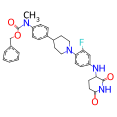 CN(C(=O)OCc1ccccc1)c1ccc(C2CCN(c3ccc(NC4CCC(=O)NC4=O)cc3F)CC2)cc1